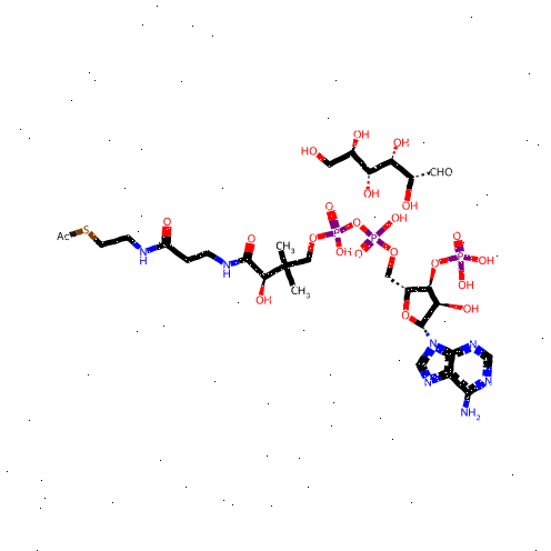 CC(=O)SCCNC(=O)CCNC(=O)[C@H](O)C(C)(C)COP(=O)(O)OP(=O)(O)OC[C@H]1O[C@@H](n2cnc3c(N)ncnc32)[C@H](O)[C@@H]1OP(=O)(O)O.O=C[C@H](O)[C@@H](O)[C@H](O)[C@H](O)CO